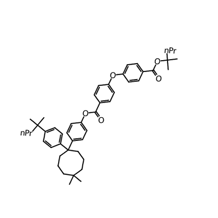 CCCC(C)(C)OC(=O)c1ccc(Oc2ccc(C(=O)Oc3ccc(C4(c5ccc(C(C)(C)CCC)cc5)CCCC(C)(C)CCC4)cc3)cc2)cc1